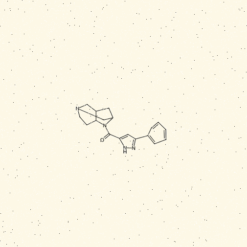 O=C(c1cc(-c2ccccc2)n[nH]1)N1C2CC3CN(CCC31)C2